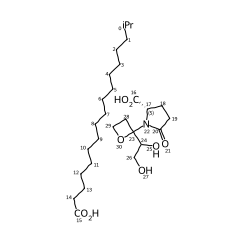 CC(C)CCCCCCCCCCCCCCC(=O)O.O=C(O)[C@@H]1CCC(=O)N1C1(C(O)CO)CCO1